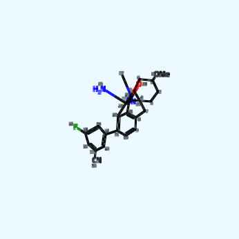 COC1CCC2(CC1)Cc1ccc(-c3cc(F)cc(C#N)c3)cc1C21N=C(N)N(C)C1=O